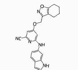 N#Cc1cc(OCc2noc3c2CCCC3)cc(Nc2ccc3cc[nH]c3c2)n1